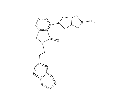 CN1CC2CN(c3cccc4c3C(=O)N(CCc3ccc5ccccc5n3)C4)CC2C1